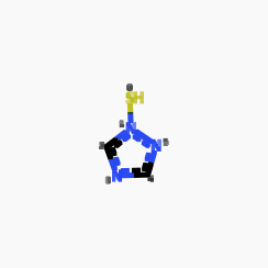 Sn1cncn1